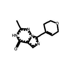 Cc1nn2c(C3=CCOCC3)ncc2c(=O)[nH]1